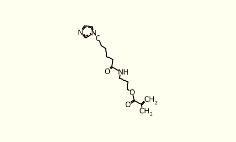 C=C(C)C(=O)OCCCNC(=O)CCCCCn1ccnc1